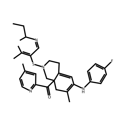 CCC(C)/N=C\C(SN1CCC2=CC(Nc3ccc(F)cc3)=C(C)CC2(C(=O)c2cc(C)ccn2)C1)=C(C)C